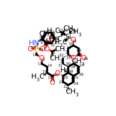 CC(C)OC(=O)[C@H](C)NP(=O)(COCC[C@H](C)C(=O)O[C@H]1C[C@@H](C)C=C2C=C[C@H](C)[C@H](CC[C@@H]3C[C@@H](O[Si](C)(C)C(C)(C)C)CC(=O)O3)[C@H]21)Oc1ccccc1